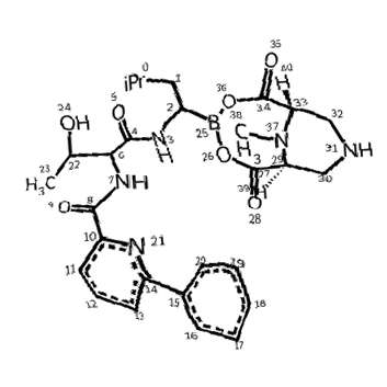 CC(C)CC(NC(=O)C(NC(=O)c1cccc(-c2ccccc2)n1)C(C)O)B1OC(=O)[C@@H]2CNC[C@@H](C(=O)O1)N2C